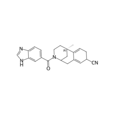 C[C@]12CCN(C(=O)c3ccc4nc[nH]c4c3)C(CC3=CC(C#N)CC=C31)C2